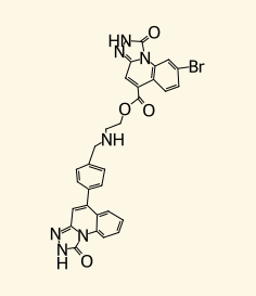 O=C(OCCNCc1ccc(-c2cc3n[nH]c(=O)n3c3ccccc23)cc1)c1cc2n[nH]c(=O)n2c2cc(Br)ccc12